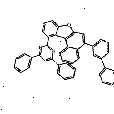 c1ccc(-c2cccc(-c3cc4oc5cccc(-c6nc(-c7ccccc7)nc(-c7ccccc7)n6)c5c4c4ccccc34)c2)cc1